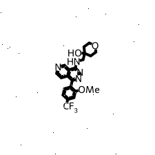 COc1cc(C(F)(F)F)ccc1-c1nnc(NCC2(O)CCOCC2)c2cnccc12